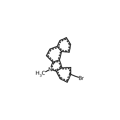 Cn1c2ccc(Br)cc2c2c3ccccc3ccc21